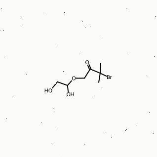 CC(C)(Br)C(=O)COC(O)CO